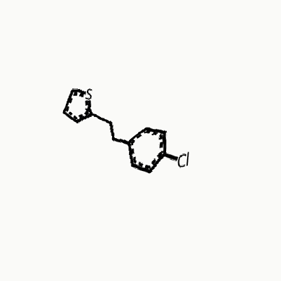 Clc1ccc(CCc2cccs2)cc1